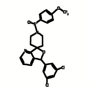 [O-][S+](c1ccc(OC(F)(F)F)cc1)N1CCC2(CC1)OC(c1cc(Cl)cc(Cl)c1)c1cccnc12